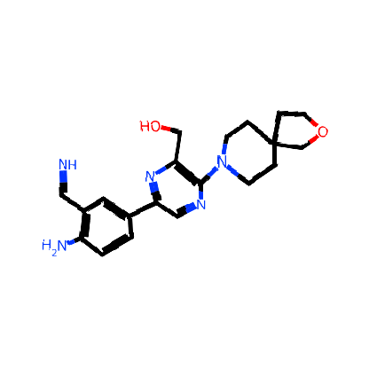 N=Cc1cc(-c2cnc(N3CCC4(CCOC4)CC3)c(CO)n2)ccc1N